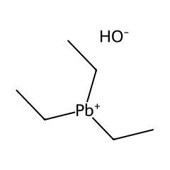 C[CH2][Pb+]([CH2]C)[CH2]C.[OH-]